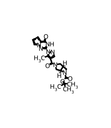 Cc1c(C(=O)N2C[C@@H]3CN(C(=O)OC(C)(C)C)[C@@H]3C2)cnn1-c1nn2cccc2c(=O)[nH]1